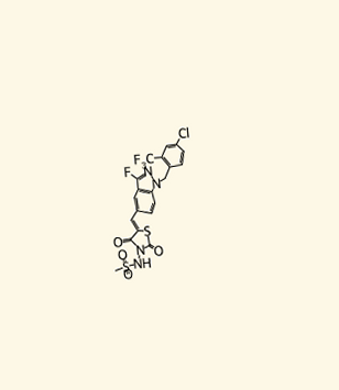 CS(=O)(=O)NN1C(=O)S/C(=C\c2ccc3c(c2)c(F)nn3Cc2ccc(Cl)cc2C(F)(F)F)C1=O